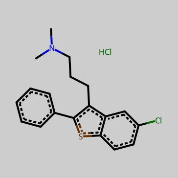 CN(C)CCCc1c(-c2ccccc2)sc2ccc(Cl)cc12.Cl